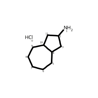 Cl.NC1CC2CCCCCC2C1